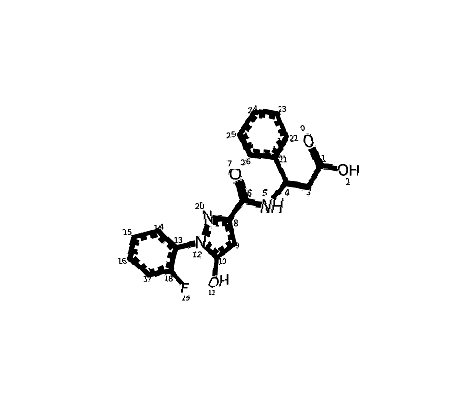 O=C(O)CC(NC(=O)c1cc(O)n(-c2ccccc2F)n1)c1ccccc1